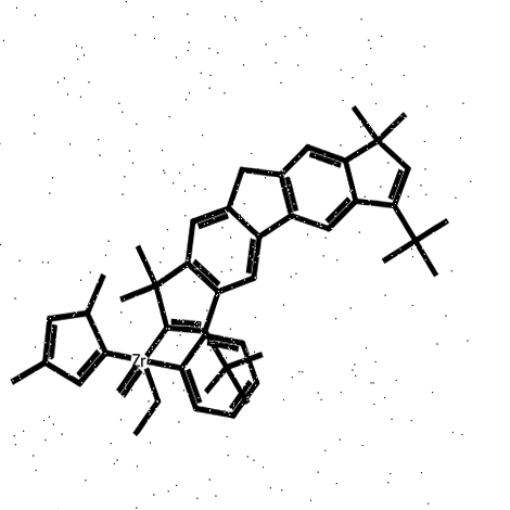 [CH2]=[Zr]([CH2]C)([C]1=CC(C)=CC1C)([C]1=C(C(C)(C)C)c2cc3c(cc2C1(C)C)Cc1cc2c(cc1-3)C(C(C)(C)C)=CC2(C)C)[c]1ccccc1